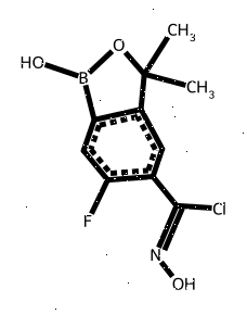 CC1(C)OB(O)c2cc(F)c(/C(Cl)=N/O)cc21